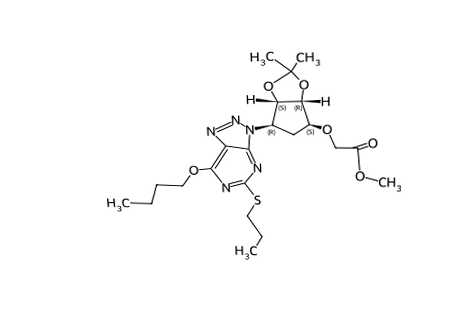 CCCCOc1nc(SCCC)nc2c1nnn2[C@@H]1C[C@H](OCC(=O)OC)[C@H]2OC(C)(C)O[C@H]21